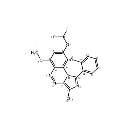 COc1cc(OC(F)F)cc2c1nnc1c(C)nc(-c3ccccc3Cl)n12